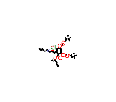 C=CCC/C=C/C(=O)Cc1c(Cl)c(OCOCC[Si](C)(C)C)cc(OCOCC[Si](C)(C)C)c1C(=O)O[C@H](C)CC=C